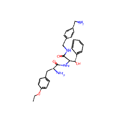 CCOc1ccc(CC(N)C(=O)NC(C(=O)NCc2ccc(CN)cc2)C(O)c2ccccc2)cc1